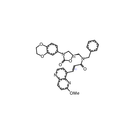 COc1ccc2nccc(/C=C/C(=O)N(Cc3ccccc3)C[C@@H]3CN(c4ccc5c(c4)OCCO5)C(=O)O3)c2n1